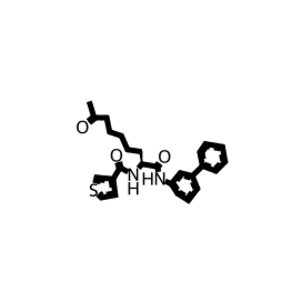 CC(=O)CCCCC[C@H](NC(=O)c1ccsc1)C(=O)Nc1cccc(-c2ccccc2)c1